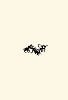 Cc1ccc(C(C)Nc2nc(N3CC(C4CCCN(C5CC(C)(C(=O)O)C5)C4)C3)nc(C)c2C)c(Cl)c1